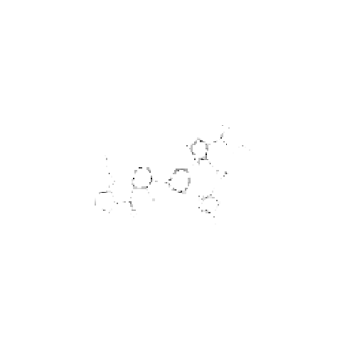 CCOC[C@@H]1CCCN1C(=O)c1cccc(-c2cccc(-n3ncc(C(=O)OCC)c3C3CC3c3cn(C)nn3)c2)c1F